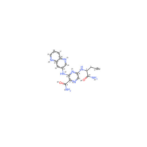 CC(C)(C)CC(Nc1cnc(C(N)=O)c(Nc2cnc3cccnc3c2)n1)C(N)=O